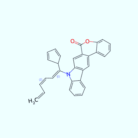 C=C/C=C\C=C(/C1C=CC=C1)n1c2ccccc2c2cc3c(cc21)c(=O)oc1ccccc13